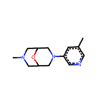 Cc1cncc(N2CC3CN(C)CC(C2)O3)c1